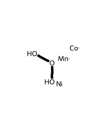 OOO.[Co].[Mn].[Ni]